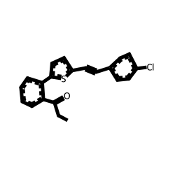 CCC(=O)c1ccccc1-c1ccc(C#Cc2ccc(Cl)cc2)s1